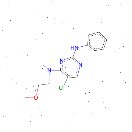 COCCN(C)c1nc(Nc2ccccc2)ncc1Cl